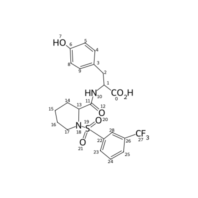 O=C(O)C(Cc1ccc(O)cc1)NC(=O)C1CCCCN1S(=O)(=O)c1cccc(C(F)(F)F)c1